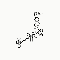 CC(=O)OCc1ccc(NC(=O)CNC(=O)C(NC(=O)CNC(=O)CCCCCN2C(=O)C=CC2=O)C(C)C)cc1